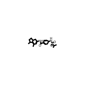 CC1=C2C(C)CCC2CC(NC(=O)C2=CCC(NS(=O)(=O)C(C)C)C=C2)=C1